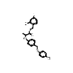 CC(Oc1ccc(COc2ccc(Cl)cc2)cc1)C(=O)OCc1ccc(Cl)cc1Cl